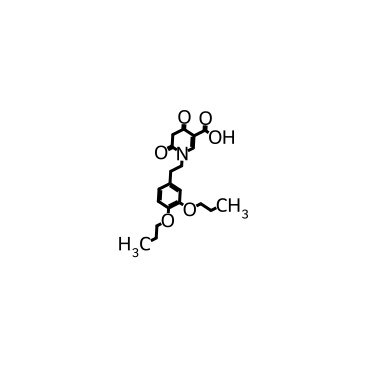 CCCOc1ccc(CCN2C=C(C(=O)O)C(=O)CC2=O)cc1OCCC